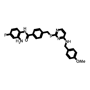 COc1ccc(CNc2ccnc(SCc3ccc(C(=O)Nc4ccc(F)cc4N)cc3)n2)cc1